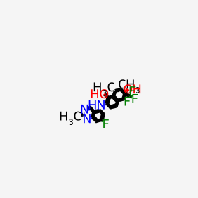 Cc1ncc2c(Nc3ccc4c(c3O)C(C)C(C)C(O)(C(F)(F)F)C4)cc(F)cc2n1